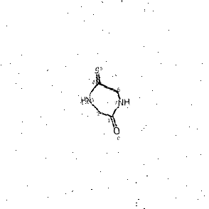 O=C1CNC(=S)CN1